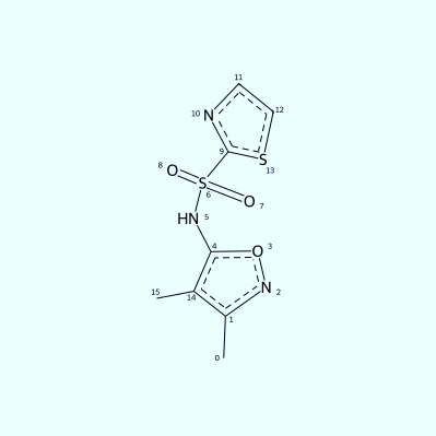 Cc1noc(NS(=O)(=O)c2nccs2)c1C